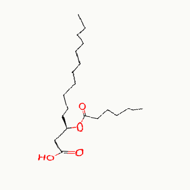 CCCCCCCCCCC[C@H](CC(=O)O)OC(=O)CCCCC